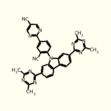 Cc1nc(C)nc(-c2ccc3c4ccc(-c5nc(C)nc(C)n5)cc4n(-c4ccc(-c5ncc(C#N)cn5)cc4C#N)c3c2)n1